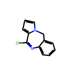 ClC1=Nc2ccccc2Cn2cccc21